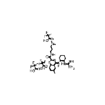 Cc1ccc2nc(C(=O)NCCCN(C)C)nc(NC3CCCCC3NC(=N)N)c2c1.O=C(O)C(F)(F)F.O=C(O)C(F)(F)F.O=C(O)C(F)(F)F